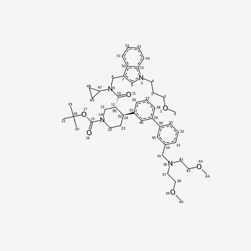 COCCCn1cc(CN(C(=O)[C@H]2CN(C(=O)OC(C)(C)C)CC[C@@H]2c2cccc(-c3cccc(CN(CCOC)CCOC)c3)c2)C2CC2)c2ccccc21